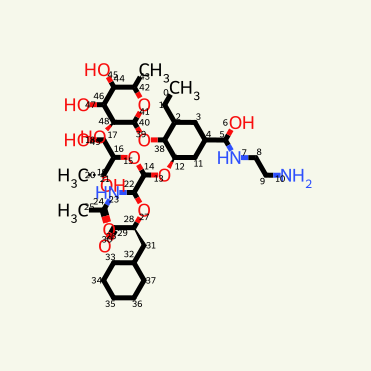 CCC1CC(C(O)NCCN)C[C@@H](OC(OC(CO)[C@@H](C)O)C(NC(C)=O)O[C@H](C=O)CC2CCCCC2)C1OC1OC(C)C(O)C(O)[C@@H]1O